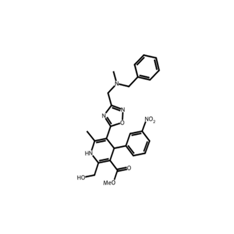 COC(=O)C1=C(CO)NC(C)=C(c2nc(CN(C)Cc3ccccc3)no2)C1c1cccc([N+](=O)[O-])c1